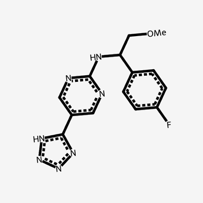 COCC(Nc1ncc(-c2nnn[nH]2)cn1)c1ccc(F)cc1